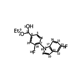 CCOC(O)c1ccc(-n2ccc3cc(F)ccc32)c(F)c1